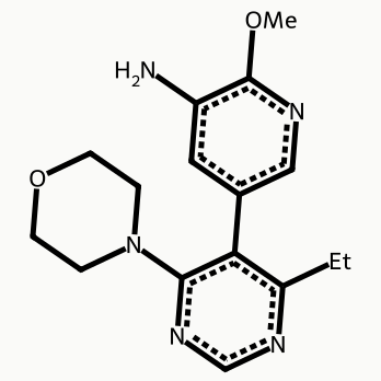 CCc1ncnc(N2CCOCC2)c1-c1cnc(OC)c(N)c1